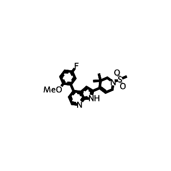 COc1ccc(F)cc1-c1ccnc2[nH]c(C3=CCN(S(C)(=O)=O)CC3(C)C)cc12